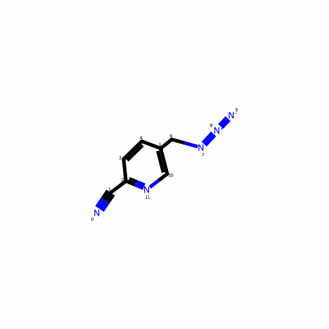 N#Cc1ccc(CN=[N+]=[N-])cn1